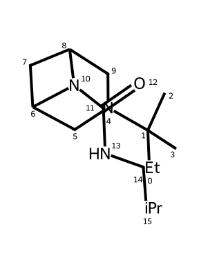 CCC(C)(C)N1CC2CC(C1)N2C(=O)NCC(C)C